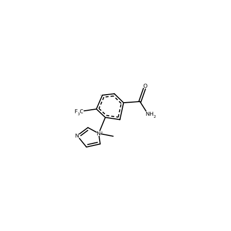 C[N+]1(c2cc(C(N)=O)c[c]c2C(F)(F)F)C=CN=C1